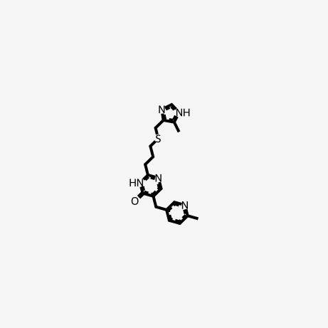 Cc1ccc(Cc2cnc(CCCSCc3nc[nH]c3C)[nH]c2=O)cn1